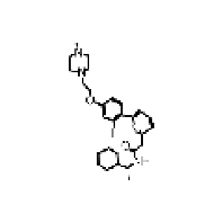 C[C@H](NC(=O)Cc1cccc(-c2ccc(OCCN3CCN(C)CC3)cc2F)n1)C1CCCCC1